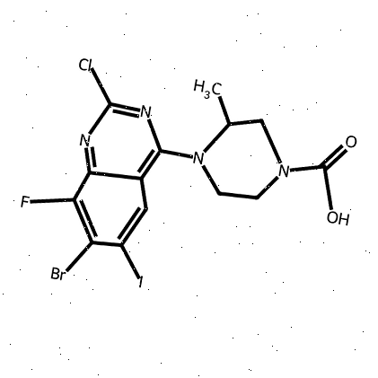 CC1CN(C(=O)O)CCN1c1nc(Cl)nc2c(F)c(Br)c(I)cc12